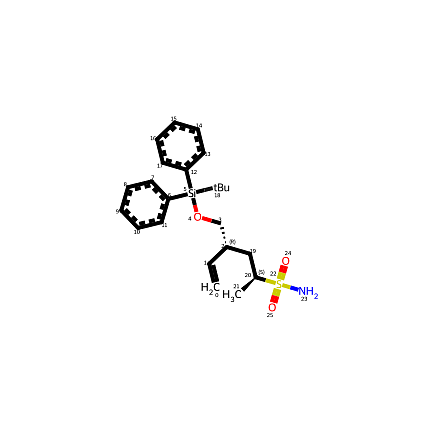 C=C[C@H](CO[Si](c1ccccc1)(c1ccccc1)C(C)(C)C)C[C@H](C)S(N)(=O)=O